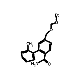 CCOCOCc1ccc(C(N)=O)c(-c2ccccc2C)c1